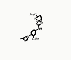 COc1ccc2nc(Nc3ccc(-n4cnc(C)c4)c(OC)c3)nn2n1